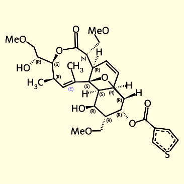 COC[C@@H]1[C@@H](O)[C@@H]2[C@H]3C=C[C@@H]4[C@@H](COC)C(=O)O[C@H]([C@H](O)COC)[C@H](C)/C=C(\C)[C@@]24O[C@H]3[C@@H]1OC(=O)c1ccsc1